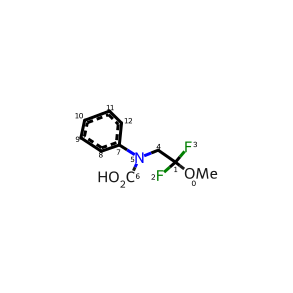 COC(F)(F)CN(C(=O)O)c1ccccc1